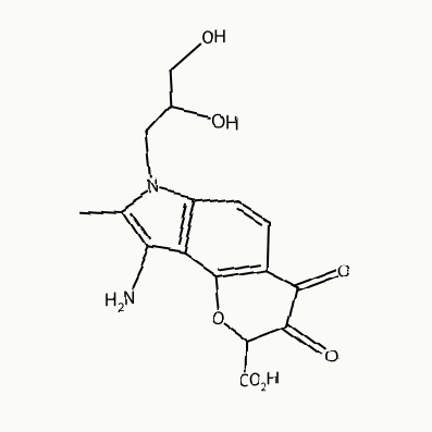 Cc1c(N)c2c3c(ccc2n1CC(O)CO)C(=O)C(=O)C(C(=O)O)O3